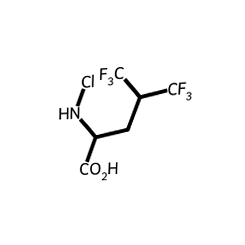 O=C(O)C(CC(C(F)(F)F)C(F)(F)F)NCl